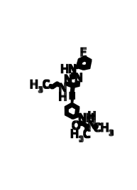 CCCNc1nc(Nc2cccc(F)c2)ncc1C#C[C@@H]1CCC[C@H](NC(=O)C(C)NC)C1